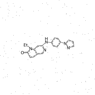 CCn1c(=O)ccc2cnc(Nc3ccc(-n4cccn4)cc3)cc21